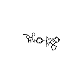 CCOC(=O)Nc1ccc(-c2nnc(C3(c4cccs4)CCCC3)n2C)cc1